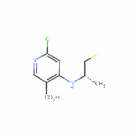 CCOC(=O)c1cnc(Cl)cc1N[C@@H](C)CF